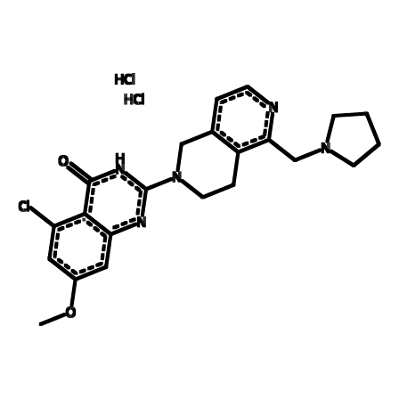 COc1cc(Cl)c2c(=O)[nH]c(N3CCc4c(ccnc4CN4CCCC4)C3)nc2c1.Cl.Cl